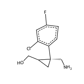 NC[C@]1(c2ccc(F)cc2Cl)CC1CO